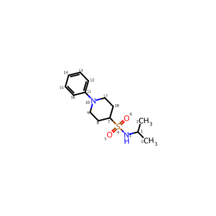 CC(C)NS(=O)(=O)C1CCN(c2ccccc2)CC1